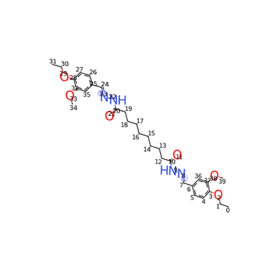 CCOc1ccc(/C=N/NC(=O)CCCCCCCCC(=O)N/N=C/c2ccc(OCC)c(OC)c2)cc1OC